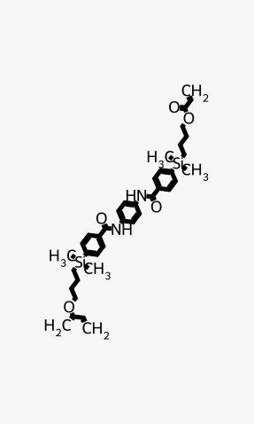 C=CC(=C)OCCCC[Si](C)(C)c1ccc(C(=O)Nc2ccc(NC(=O)c3ccc([Si](C)(C)CCCCOC(=O)C=C)cc3)cc2)cc1